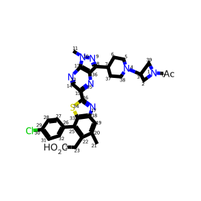 CC(=O)N1CC(N2CCC(c3nn(C)c4ncc(-c5nc6cc(C)c(CC(=O)O)c(-c7ccc(Cl)cc7)c6s5)nc34)CC2)C1